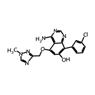 Cn1cnc(COc2cc(O)c(-c3cccc(Cl)c3)c3ncnc(N)c23)n1